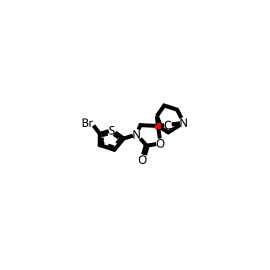 O=C1OC2(CN3CCC2CC3)CN1c1ccc(Br)s1